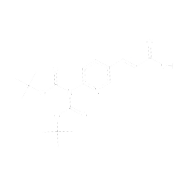 CC(C)(C)OC(=O)N(C(=O)OC(C)(C)C)c1ccc(/C=C/C(=O)O)cn1